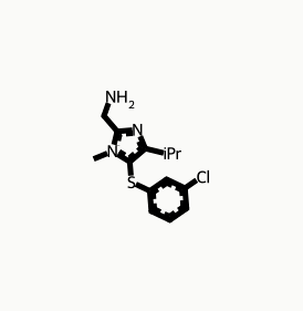 CC(C)c1nc(CN)n(C)c1Sc1cccc(Cl)c1